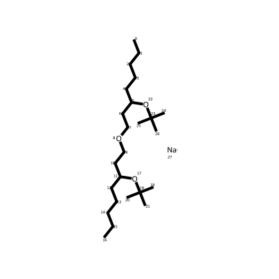 CCCCCC(CCOCCC(CCCCC)OC(C)(C)C)OC(C)(C)C.[Na]